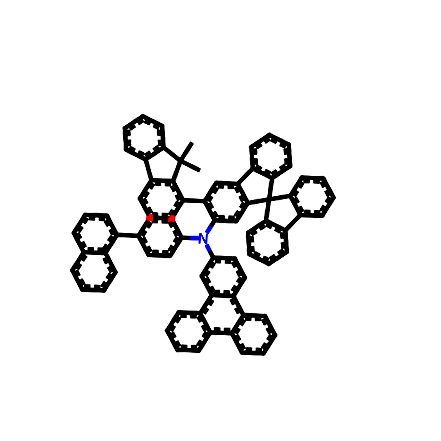 CC1(C)c2ccccc2-c2cccc(-c3cc4c(cc3N(c3ccc(-c5cccc6ccccc56)cc3)c3ccc5c6ccccc6c6ccccc6c5c3)C3(c5ccccc5-c5ccccc53)c3ccccc3-4)c21